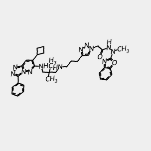 CN(NC(=O)Cn1cc(CCCNCC(C)(C)CNc2nn3c(-c4ccccc4)nnc3cc2C2CCC2)nn1)c1nc2ccccc2o1